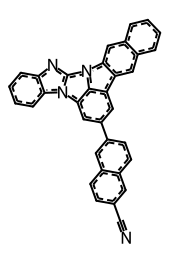 N#Cc1ccc2cc(-c3cc4c5cc6ccccc6cc5n5c4c(c3)n3c4ccccc4nc35)ccc2c1